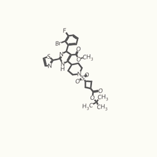 COC(=O)C1=C(C2CCN(S(=O)(=O)C3CC(C(=O)OC(C)(C)C)C3)CC2)NC(c2nccs2)=NC1c1cccc(F)c1Br